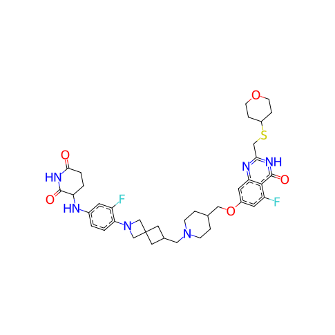 O=C1CCC(Nc2ccc(N3CC4(CC(CN5CCC(COc6cc(F)c7c(=O)[nH]c(CSC8CCOCC8)nc7c6)CC5)C4)C3)c(F)c2)C(=O)N1